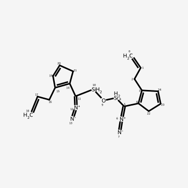 C=CCC1=C(C(=[N+]=[N-])[SiH2]O[SiH2]C(=[N+]=[N-])C2=C(CC=C)C=CC2)CC=C1